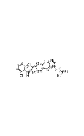 CCN(CC)CCn1cnc2ccc(C=C3SC(Nc4c(Cl)cccc4Cl)=NC3=O)cc21